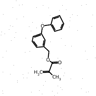 C=C(C)C(=O)OCc1cccc(Oc2ccccc2)c1